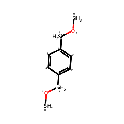 [SiH3]O[SiH2]c1ccc([SiH2]O[SiH3])cc1